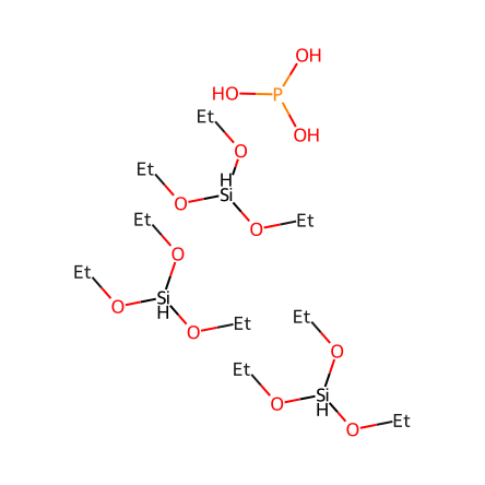 CCO[SiH](OCC)OCC.CCO[SiH](OCC)OCC.CCO[SiH](OCC)OCC.OP(O)O